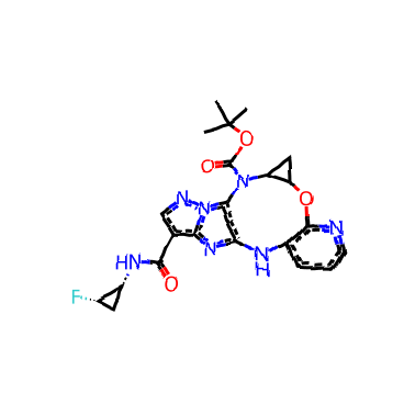 CC(C)(C)OC(=O)N1c2cc(nc3c(C(=O)N[C@@H]4C[C@@H]4F)cnn23)Nc2cccnc2OC2CC21